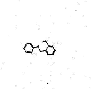 O=C1OC(c2ccccc2Cl)Cc2cccc(Cl)c21